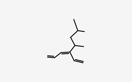 C=C/C=C(\C=C)C(C)CC(C)C